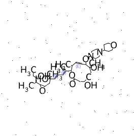 CCC(O)C(C)C1OC1CC(C)(O)/C=C/C=C(\C)C1OC(=O)CC(O)CCC(C)(O)C(ON2CCN(C3CCOCC3)CC2)/C=C/C1C